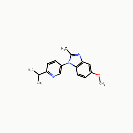 COc1ccc2c(c1)nc(C)n2-c1ccc(C(C)C)nc1